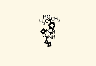 CC(C)(O)c1ccc2nc(NC(=O)C3CC34CCC4)n(C3=CC=C3)c2c1